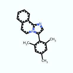 Cc1cc(C)c(-c2cnc3c4ccccc4ccn23)c(C)c1